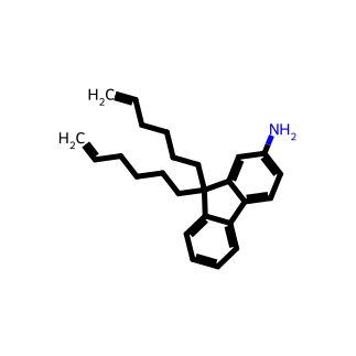 C=CCCCCC1(CCCCC=C)c2ccccc2-c2ccc(N)cc21